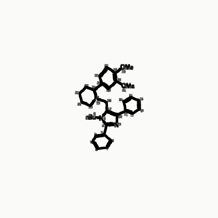 CCCCn1c(-c2ccccc2)nc(-c2ccccc2)c1CN1CCCCC1c1ccc(OC)c(OC)c1